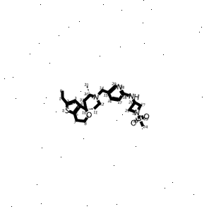 CCc1cc2c(s1)CCO[C@@]21CCN(Cc2ccc(NC3CN(S(C)(=O)=O)C3)nc2)[C@@H](C)C1